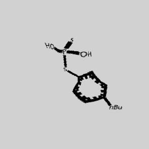 CCCCc1ccc(SP(O)(O)=S)cc1